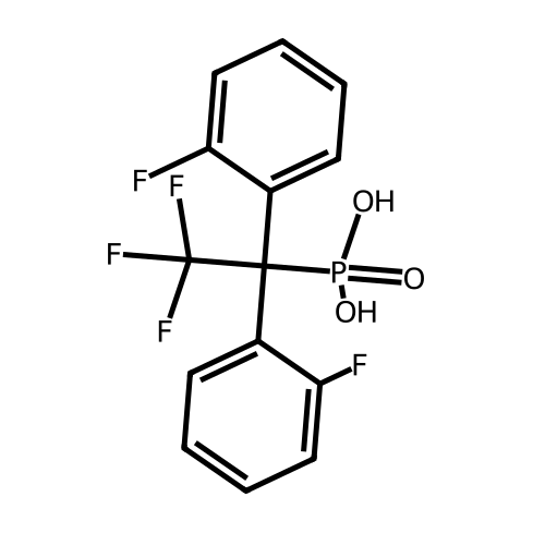 O=P(O)(O)C(c1ccccc1F)(c1ccccc1F)C(F)(F)F